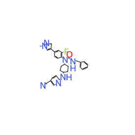 Cn1cc(-c2ccc(N(C(=O)NCc3ccccc3)[C@H]3CC[C@H](Nc4ccc(C#N)cn4)CC3)c(F)c2)cn1